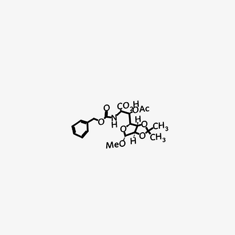 CO[C@@H]1O[C@@H]([C@H](OC(C)=O)[C@@H](NC(=O)OCc2ccccc2)C(=O)O)[C@H]2OC(C)(C)O[C@@H]12